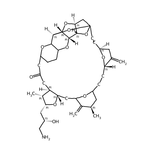 C=C1C2C[C@@H]3O[C@H](C[C@H](O)CN)[C@H](C)[C@H]3CC(=O)CC3CCC4O[C@H]5[C@H]6OC7(CC[C@H]8CC(=C)[C@H](CCC(C[C@H]1C)O2)O8)C[C@@H]6O[C@H]5[C@@H](O7)C4O3